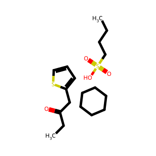 C1CCCCC1.CCC(=O)Cc1cccs1.CCCCS(=O)(=O)O